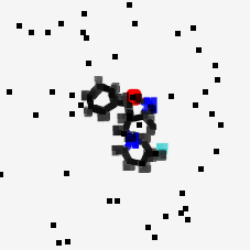 Cc1noc(-c2ccccc2)c1CN1CCC[C@@H](F)C1